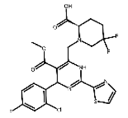 COC(=O)C1=C(CN2CC(F)(F)CC[C@@H]2C(=O)O)NC(c2nccs2)=NC1c1ccc(F)cc1Cl